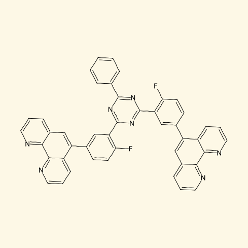 Fc1ccc(-c2cc3cccnc3c3ncccc23)cc1-c1nc(-c2ccccc2)nc(-c2cc(-c3cc4cccnc4c4ncccc34)ccc2F)n1